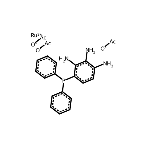 CC(=O)[O-].CC(=O)[O-].CC(=O)[O-].Nc1ccc(P(c2ccccc2)c2ccccc2)c(N)c1N.[Ru+3]